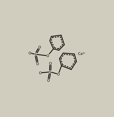 O=S(=O)([O-])Oc1ccccc1.O=S(=O)([O-])Oc1ccccc1.[Ca+2]